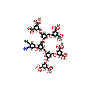 COC(=O)c1cc(OCc2cc(COc3cc(C(=O)OC)cc(C(=O)OC)c3)cc(OCc3cc(COc4cc(COc5cc(C(=O)OC)cc(C(=O)OC)c5)cc(COc5cc(C(=O)OC)cc(C(=O)OC)c5)c4)cc(Oc4ccc(C#N)c(C#N)c4)c3)c2)cc(C(=O)OC)c1